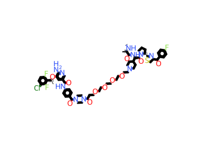 CN[C@H](C)C(=O)N[C@@H](C(=O)N1CCC[C@@H]1C1=NC(C(=O)c2ccc(F)cc2)CS1)C1CCN(CCOCCOCCOCCOCCC(=O)N2CCN(C(=O)c3ccc(NC(=O)c4cnc(N)c(O[C@H](C)c5c(F)ccc(Cl)c5F)c4)cc3)CC2)CC1